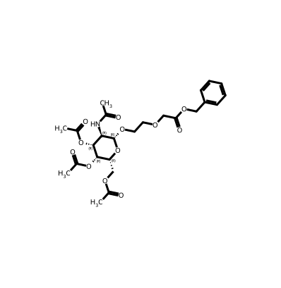 CC(=O)N[C@H]1[C@H](OCCOCC(=O)OCc2ccccc2)O[C@H](COC(C)=O)[C@H](OC(C)=O)[C@@H]1OC(C)=O